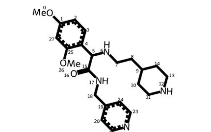 COc1ccc(C(NCCC2CCNCC2)C(=O)NCc2ccncc2)c(OC)c1